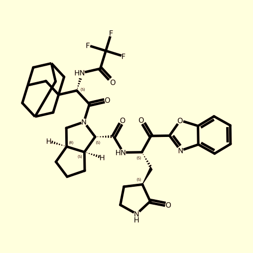 O=C1NCC[C@H]1C[C@H](NC(=O)[C@@H]1[C@H]2CCC[C@H]2CN1C(=O)[C@@H](NC(=O)C(F)(F)F)C12CC3CC(CC(C3)C1)C2)C(=O)c1nc2ccccc2o1